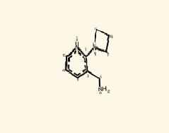 NCc1cccnc1N1CCC1